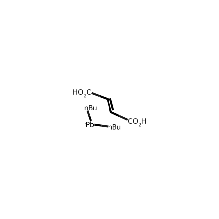 CCC[CH2][Pb][CH2]CCC.O=C(O)C=CC(=O)O